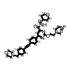 CN1CCN(CCOc2nc(C(=O)NOC3CCOCC3)cc(-c3ccc(C#Cc4ccc(CN5CCOCC5)cc4)cc3)n2)CC1